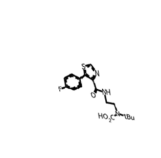 CC(C)(C)N(CCNC(=O)c1ncsc1-c1ccc(F)cc1)C(=O)O